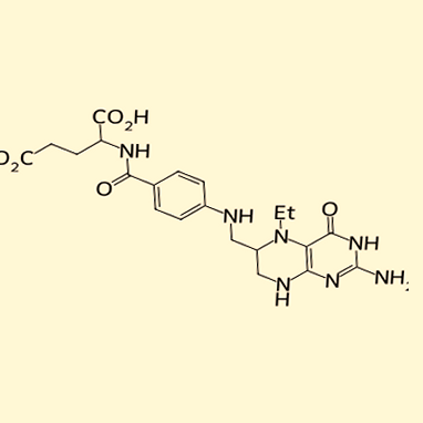 CCN1c2c(nc(N)[nH]c2=O)NCC1CNc1ccc(C(=O)NC(CCC(=O)O)C(=O)O)cc1